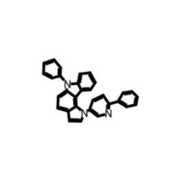 c1ccc(-c2ccc(-n3ccc4ccc5c(c6ccccc6n5-c5ccccc5)c43)cn2)cc1